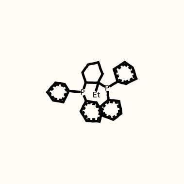 CCC1(P(c2ccccc2)c2ccccc2)CCCCC1P(c1ccccc1)c1ccccc1